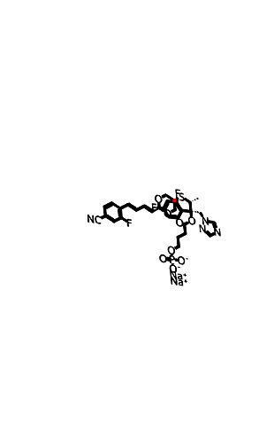 C[C@@H](S[C@H]1CO[C@H](/C=C/C=C/c2ccc(C#N)cc2F)OC1)[C@@](Cn1cncn1)(OC(=O)CCCOP(=O)([O-])[O-])c1ccc(F)cc1F.[Na+].[Na+]